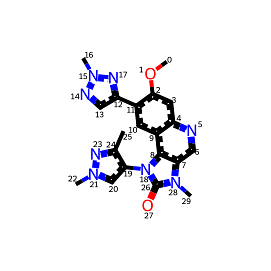 COc1cc2ncc3c(c2cc1-c1cnn(C)n1)n(-c1cn(C)nc1C)c(=O)n3C